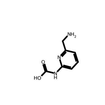 NCc1cccc(NC(=O)O)n1